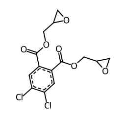 O=C(OCC1CO1)c1cc(Cl)c(Cl)cc1C(=O)OCC1CO1